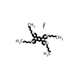 CCCCCC[n+]1ccc(-c2cc(-c3cc[n+](CCCCCC)cc3)c(-c3cc[n+](CCCCCC)cc3)cc2-c2cc[n+](CCCCCC)cc2)cc1.[I-].[I-].[I-].[I-]